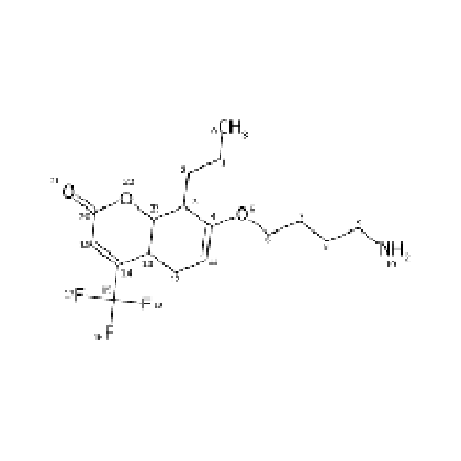 CCCC1C(OCCCCN)=CCC2C(C(F)(F)F)=CC(=O)OC12